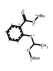 CCCCCCCCCOC(C)Sc1ccccc1C(=O)OCCCC